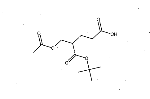 CC(=O)OCC(CCC(=O)O)C(=O)OC(C)(C)C